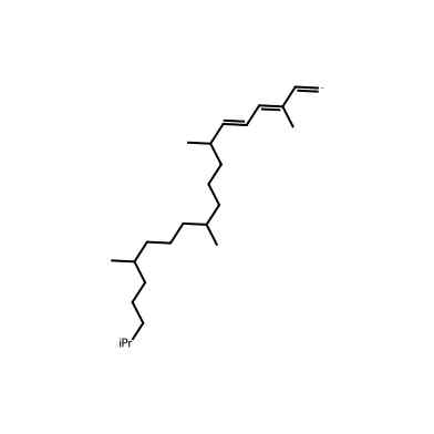 [CH]=C/C(C)=C/C=C/C(C)CCCC(C)CCCC(C)CCCC(C)C